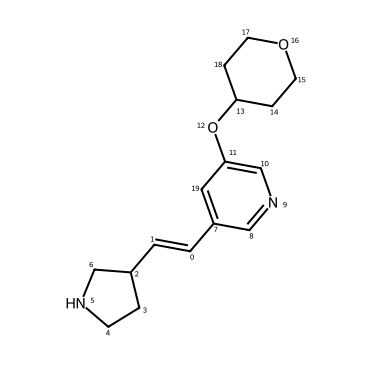 C(=C\C1CCNC1)/c1cncc(OC2CCOCC2)c1